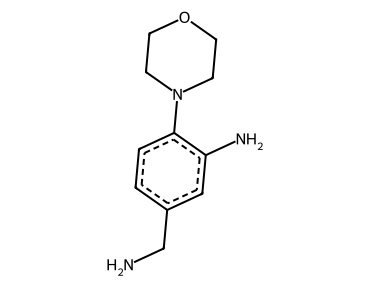 NCc1ccc(N2CCOCC2)c(N)c1